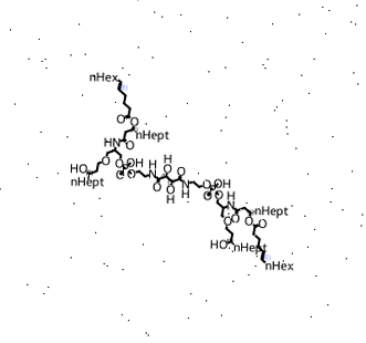 CCCCCC/C=C/CCCC(=O)O[C@H](CCCCCCC)CC(=O)NC(COCC[C@H](O)CCCCCCC)COP(=O)(O)OCCNC(=O)[C@@H](O)[C@H](O)C(=O)NCCOP(=O)(O)OCC(COCC[C@H](O)CCCCCCC)NC(=O)C[C@H](CCCCCCC)OC(=O)CCC/C=C/CCCCCC